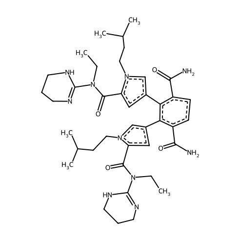 CCN(C(=O)c1cc(-c2c(C(N)=O)ccc(C(N)=O)c2-c2cc(C(=O)N(CC)C3=NCCCN3)n(CCC(C)C)c2)cn1CCC(C)C)C1=NCCCN1